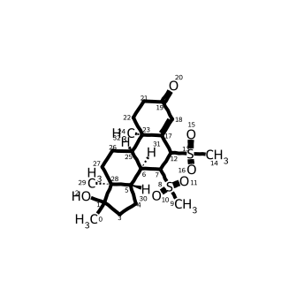 CC1(O)CC[C@H]2[C@@H]3C(S(C)(=O)=O)C(S(C)(=O)=O)C4=CC(=O)CC[C@]4(C)[C@@H]3CC[C@@]21C